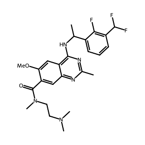 COc1cc2c(NC(C)c3cccc(C(F)F)c3F)nc(C)nc2cc1C(=O)N(C)CCN(C)C